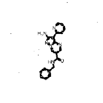 Nc1nn2cc(C(=O)NCc3ccccc3)cnc2c1-c1ccccn1